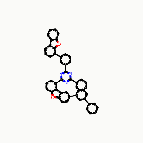 c1ccc(-c2cccc(-c3ccc4oc5cccc(-c6nc(-c7ccccc7)nc(-c7cccc(-c8cccc9c8oc8ccccc89)c7)n6)c5c4c3)c2)cc1